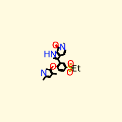 CCS(=O)(=O)c1ccc(Oc2cnc(C)cc2C)c(-c2c[nH]c3c(=O)n(C)ccc23)c1